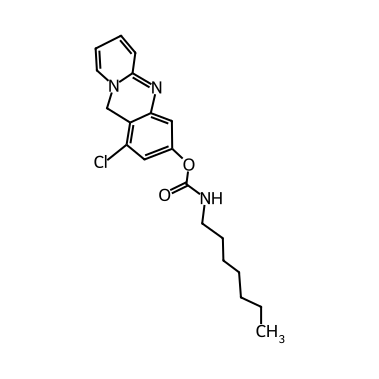 CCCCCCCNC(=O)Oc1cc(Cl)c2c(c1)N=C1C=CC=CN1C2